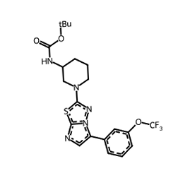 CC(C)(C)OC(=O)NC1CCCN(c2nn3c(-c4cccc(OC(F)(F)F)c4)cnc3s2)C1